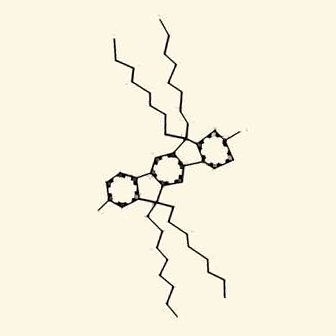 Bc1ccc2c(c1)C(CCCCCCCC)(CCCCCCCC)c1cc3c(cc1-2)C(CCCCCCCC)(CCCCCCCC)c1cc(Br)ccc1-3